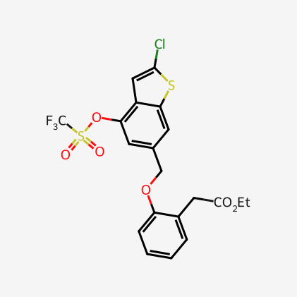 CCOC(=O)Cc1ccccc1OCc1cc(OS(=O)(=O)C(F)(F)F)c2cc(Cl)sc2c1